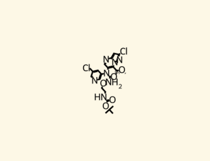 CO[C@@H](C)c1c(N(C(N)=O)c2cc(Cl)cnc2OCCNC(=O)OC(C)(C)C)cnc2cc(Cl)nn12